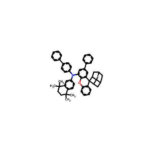 CC1(C)CCC(C)(C)c2cc(N(c3ccc(-c4ccccc4)cc3)c3cc(-c4ccccc4)cc4c3Oc3ccccc3C43C4CC5CC6CC3C64C5)ccc21